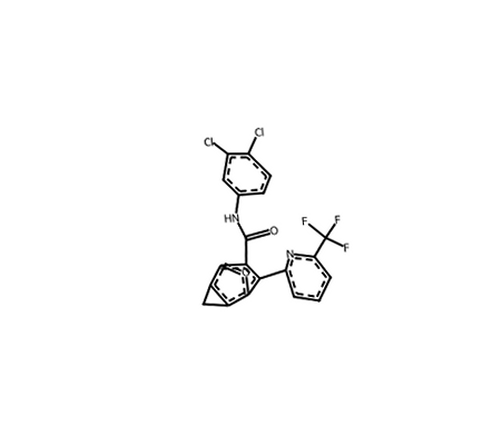 O=C(Nc1ccc(Cl)c(Cl)c1)c1c(-c2cccc(C(F)(F)F)n2)c2oc1c1c2C1